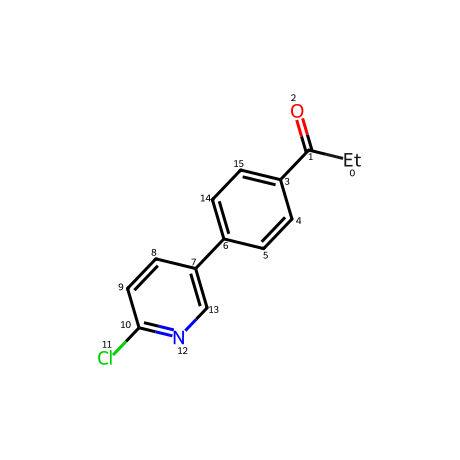 CCC(=O)c1ccc(-c2ccc(Cl)nc2)cc1